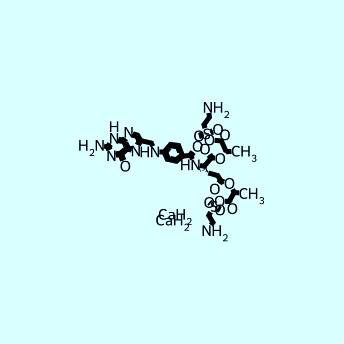 CC(OC(=O)CC[C@H](NC(=O)c1ccc(NCc2cnc3[nH]c(N)nc(=O)c3n2)cc1)C(=O)OC(C)C(=O)OS(=O)(=O)CCN)C(=O)OS(=O)(=O)CCN.[CaH2].[CaH2]